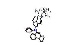 C[Si](C)(C)c1cc2ccc3cc(N(c4ccccc4)c4cc5ccccc5c5ccccc45)cc4ccc(c1)c2c34